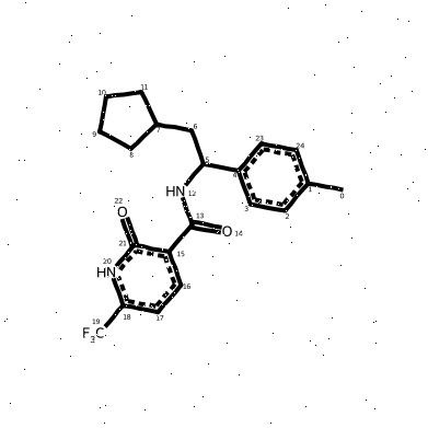 Cc1ccc(C(CC2CCCC2)NC(=O)c2ccc(C(F)(F)F)[nH]c2=O)cc1